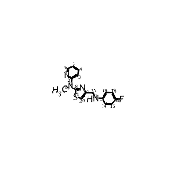 CN(c1ccccn1)c1nc(CNc2ccc(F)cc2)cs1